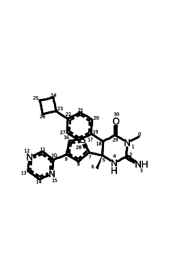 CN1C(=N)N[C@](C)(c2cc(-c3cnccn3)cs2)C(c2ccc(C3CCC3)cc2)C1=O